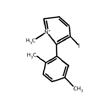 Cc1ccc(C)c(-c2c(I)ccc[n+]2C)c1